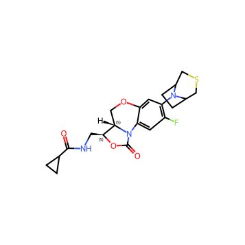 O=C(NC[C@@H]1OC(=O)N2c3cc(F)c(N4C5CCC4CSC5)cc3OC[C@@H]12)C1CC1